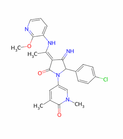 COc1ncccc1N/C(C)=C1\C(=N)C(c2ccc(Cl)cc2)N(c2cc(C)c(=O)n(C)c2)C1=O